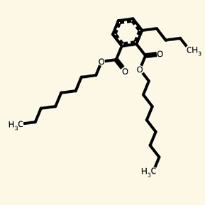 CCCCCCCCOC(=O)c1cccc(CCCC)c1C(=O)OCCCCCCCC